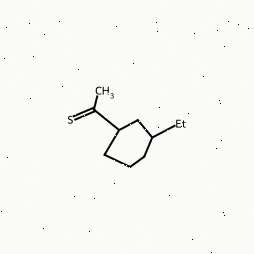 CCC1CCCC(C(C)=S)C1